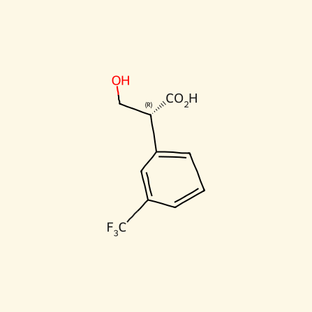 O=C(O)[C@@H](CO)c1cccc(C(F)(F)F)c1